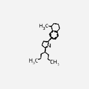 CCCC(CCC)C1=NC(c2ccc3c(c2)C(C)CCC3)=CC1